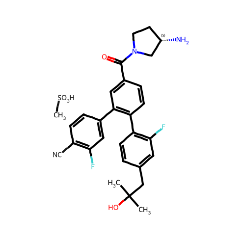 CC(C)(O)Cc1ccc(-c2ccc(C(=O)N3CC[C@H](N)C3)cc2-c2ccc(C#N)c(F)c2)c(F)c1.CS(=O)(=O)O